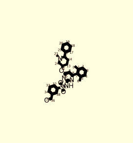 Cc1cccc(C)c1-c1cc(OC2CCC(c3ccccc3)N(C)C2)nc(NS(=O)(=O)c2cccc(C=O)c2)n1